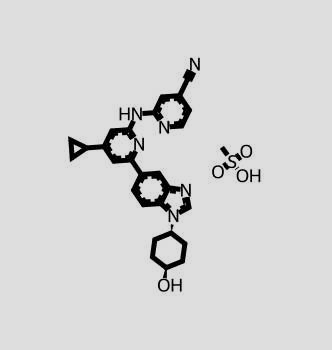 CS(=O)(=O)O.N#Cc1ccnc(Nc2cc(C3CC3)cc(-c3ccc4c(c3)ncn4[C@H]3CC[C@H](O)CC3)n2)c1